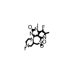 Cc1nc2c3c(nc(=O)n(I)c3c1F)N1CCN(I)CC1CS2(=O)=O